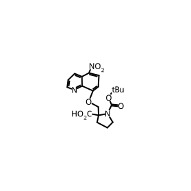 CC(C)(C)OC(=O)N1CCCC1(COc1ccc([N+](=O)[O-])c2cccnc12)C(=O)O